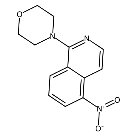 O=[N+]([O-])c1cccc2c(N3CCOCC3)nccc12